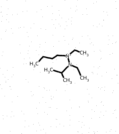 CCCC[N+](CC)N(CC)C(C)C